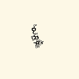 COc1ccc(CNc2ncnc3c2ccn3[C@@H]2C(C)=C(CO)[C@H]3OC(C)(C)O[C@H]32)cc1